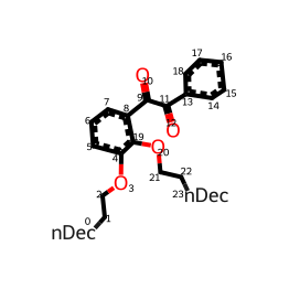 CCCCCCCCCCCCOc1cccc(C(=O)C(=O)c2ccccc2)c1OCCCCCCCCCCCC